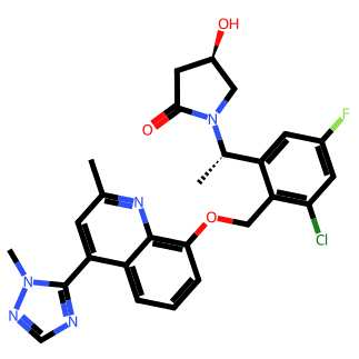 Cc1cc(-c2ncnn2C)c2cccc(OCc3c(Cl)cc(F)cc3[C@H](C)N3C[C@H](O)CC3=O)c2n1